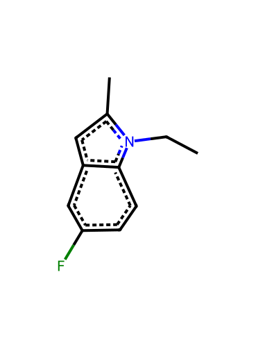 CCn1c(C)cc2cc(F)ccc21